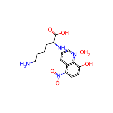 NCCCC[C@H](N)C(=O)O.O.O=[N+]([O-])c1ccc(O)c2ncccc12